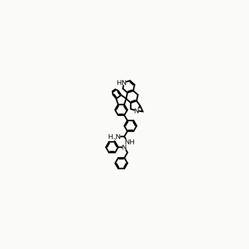 NC(NN(Cc1ccccc1)c1ccccc1)c1cccc(-c2ccc3c(c2)C2(C4=C(C=CNC4)CC4=C2CN2CC42)c2ccccc2-3)c1